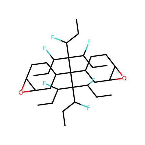 CCC(F)C(C(F)CC)(C(F)CC)C(C1CCC2OC2C1)(C1CCC2OC2C1)C(C(F)CC)(C(F)CC)C(F)CC